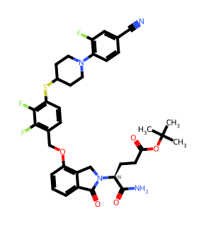 CC(C)(C)OC(=O)CC[C@@H](C(N)=O)N1Cc2c(OCc3ccc(SC4CCN(c5ccc(C#N)cc5F)CC4)c(F)c3F)cccc2C1=O